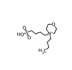 CCCC[N+]1(CCCCS(=O)(=O)O)CCOCC1